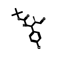 C[C@H](C=O)C(NC(=O)OC(C)(C)C)c1ccc(Cl)cc1